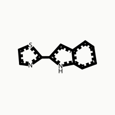 c1ccc2[nH]c(-c3nccs3)cc2c1